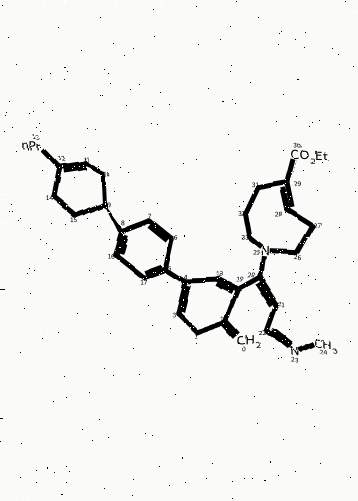 C=C1CC=C(c2ccc([C@@H]3CC=C(CCC)CC3)cc2)C=C1/C(=C\C=N/C)N1CC/C=C(\C(=O)OCC)CCC1